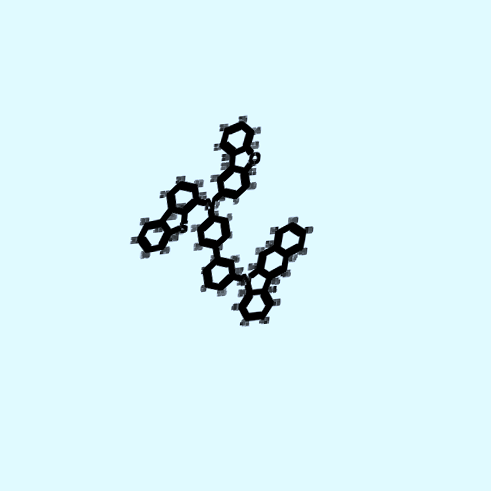 c1cc(-c2ccc(N(c3ccc4oc5ccccc5c4c3)c3cccc4c3sc3ccccc34)cc2)cc(-n2c3ccccc3c3cc4ccccc4cc32)c1